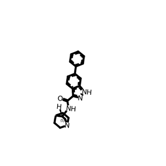 O=C(N[C@@H]1CN2CCC1CC2)c1n[nH]c2cc(-c3ccccc3)ccc12